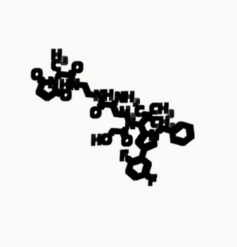 C[C@H](C(=O)NCCNC(=O)C(N)CCN(C(=O)CO)C(c1cc(-c2cc(F)ccc2F)cn1Cc1ccccc1)C(C)(C)C)N1C(=O)C=CC1=O